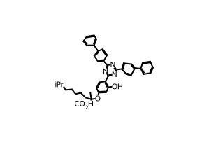 CC(C)CCCCCC(C)(Oc1ccc(-c2nc(-c3ccc(-c4ccccc4)cc3)nc(-c3ccc(-c4ccccc4)cc3)n2)c(O)c1)C(=O)O